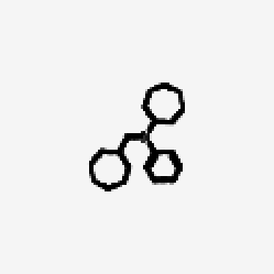 c1ccc(N(CC2CCCCCC2)C2CCCCCC2)cc1